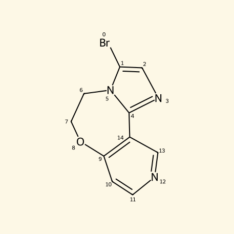 Brc1cnc2n1CCOc1ccncc1-2